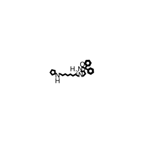 NC(=O)C(c1ccccc1)(c1ccccc1)[C@H]1CCN(CCCCCCCCNC2CCCC2)C1